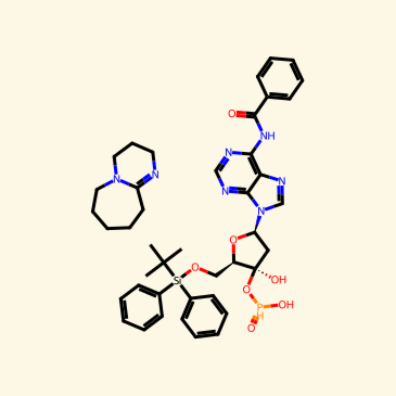 C1CCC2=NCCCN2CC1.CC(C)(C)[Si](OC[C@H]1O[C@@H](n2cnc3c(NC(=O)c4ccccc4)ncnc32)C[C@@]1(O)O[PH](=O)O)(c1ccccc1)c1ccccc1